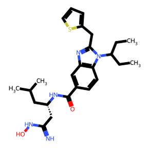 CCC(CC)n1c(Cc2cccs2)nc2cc(C(=O)N[C@H](CC(=N)NO)CC(C)C)ccc21